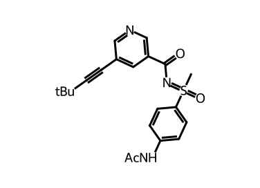 CC(=O)Nc1ccc(S(C)(=O)=NC(=O)c2cncc(C#CC(C)(C)C)c2)cc1